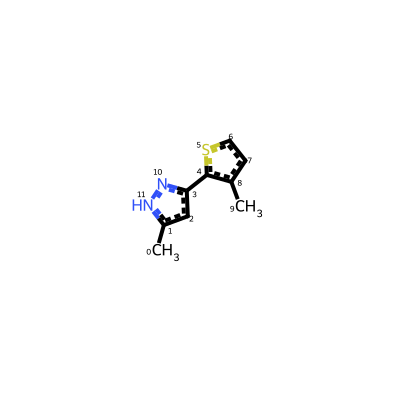 Cc1cc(-c2sccc2C)n[nH]1